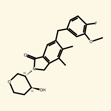 COc1cc(Cc2cc3c(c(C)c2C)CN([C@H]2COCC[C@@H]2O)C3=O)ccc1F